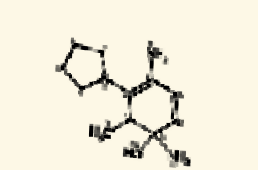 CC1C(N2CCCC2)=C(N)C=CC1(N)O